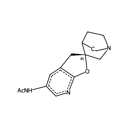 CC(=O)Nc1cnc2c(c1)C[C@@]1(CN3CCC1CC3)O2